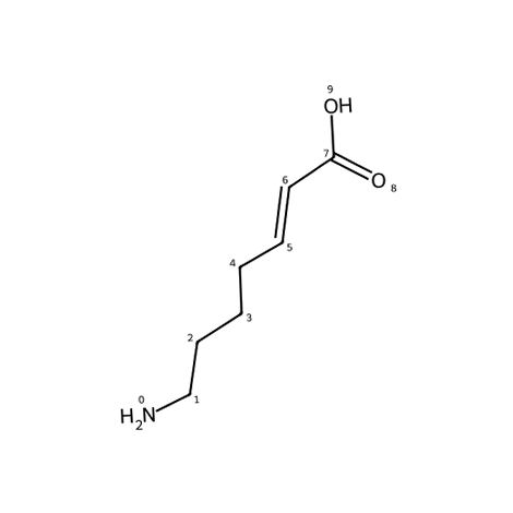 NCCCCC=CC(=O)O